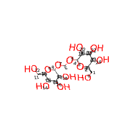 OC[C@H]1OC(OCOC2O[C@H](CO)[C@@H](O)[C@H](O)[C@H]2O)[C@H](O)[C@@H](O)[C@@H]1O